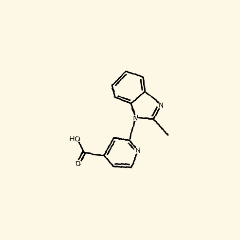 Cc1nc2ccccc2n1-c1cc(C(=O)O)ccn1